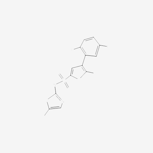 Cc1cnc(NS(=O)(=O)c2cc(-c3cc(F)ccc3F)c(Cl)s2)s1